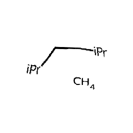 C.CC(C)CC(C)C